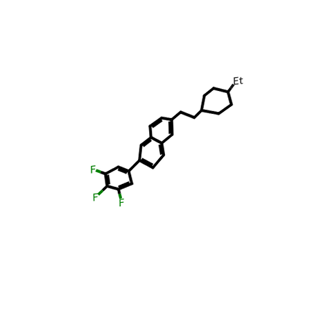 CCC1CCC(CCc2ccc3cc(-c4cc(F)c(F)c(F)c4)ccc3c2)CC1